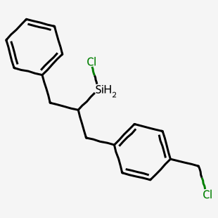 ClCc1ccc(CC(Cc2ccccc2)[SiH2]Cl)cc1